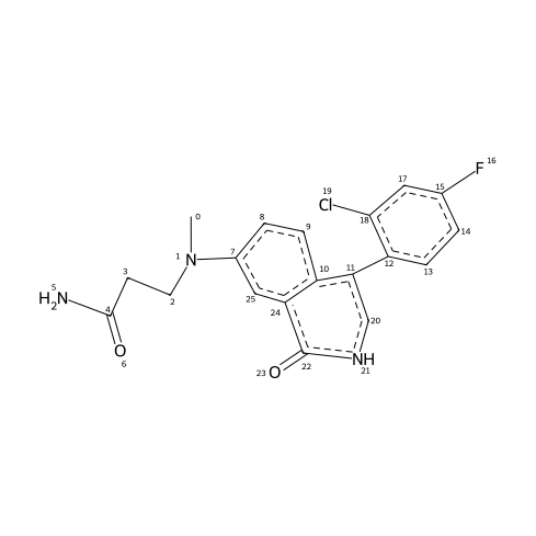 CN(CCC(N)=O)c1ccc2c(-c3ccc(F)cc3Cl)c[nH]c(=O)c2c1